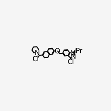 CC(C)n1nc(Cl)c2cc(COc3ccc4c(c3)CCC(C(Cl)N3CCCCC3)=C4)ccc21